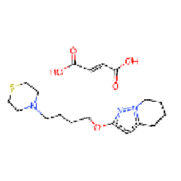 O=C(O)C=CC(=O)O.c1c(OCCCCN2CCSCC2)nn2c1CCCC2